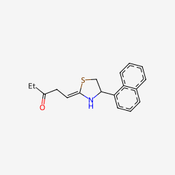 CCC(=O)CC=C1NC(c2cccc3ccccc23)CS1